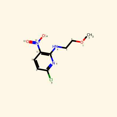 COCCNc1nc(Cl)ccc1[N+](=O)[O-]